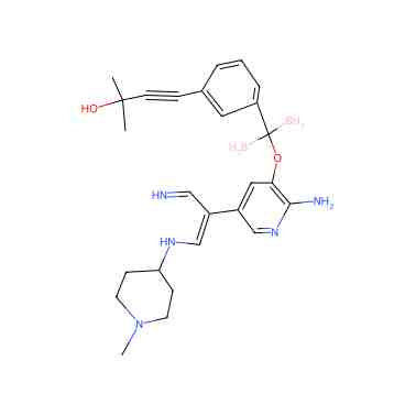 BC(B)(Oc1cc(/C(C=N)=C/NC2CCN(C)CC2)cnc1N)c1cccc(C#CC(C)(C)O)c1